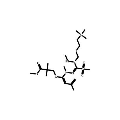 C=C(C)/C=C(/OCC(C)(C)C(=O)OC)N(C)/N=C(\N(COCC[Si](C)(C)C)NC)S(C)(=O)=O